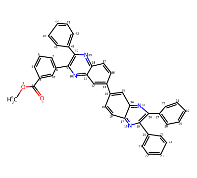 COC(=O)c1cccc(-c2nc3cc(-c4ccc5nc(-c6ccccc6)c(-c6ccccc6)nc5c4)ccc3nc2-c2ccccc2)c1